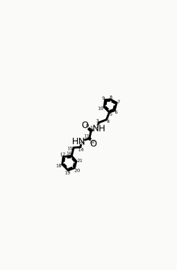 O=C(NCCc1ccccc1)C(=O)NCCc1ccccc1